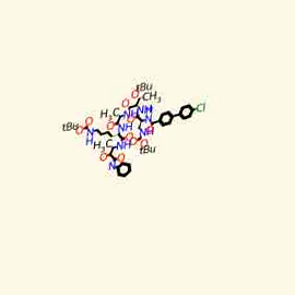 C[C@H](NC(=O)[C@@H](NC(=O)[C@H](CNC(=O)OC(C)(C)C)NC(=O)c1ccc(-c2ccc(Cl)cc2)cc1)[C@@H](C)OC(C)(C)C)C(=O)N[C@@H](CCCCNC(=O)OC(C)(C)C)C(=O)N[C@@H](C)C(=O)c1nc2ccccc2o1